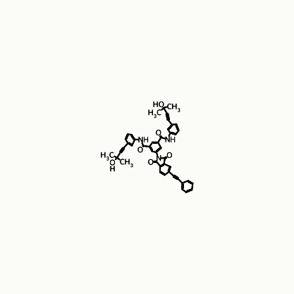 CC(C)(O)C#Cc1cccc(NC(=O)c2cc(C(=O)Nc3cccc(C#CC(C)(C)O)c3)cc(N3C(=O)c4ccc(C#Cc5ccccc5)cc4C3=O)c2)c1